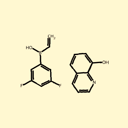 C=CB(O)c1cc(F)cc(F)c1.Oc1cccc2cccnc12